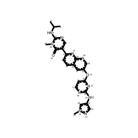 CC(C)Nc1ncc(-c2ccc3cc(Oc4ccnc(Nc5cnn(C)c5)n4)cnc3n2)c(=O)n1C